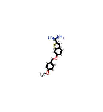 COc1ccc(COc2ccc3cc(C(=N)N)sc3c2)cc1